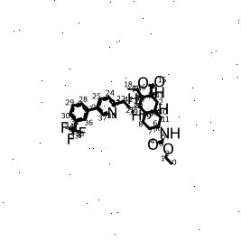 CCOC(=O)N[C@@H]1CC[C@@H]2[C@@H](C1)C[C@H]1C(=O)O[C@H](C)[C@H]1[C@H]2CCc1ccc(-c2cccc(C(F)(F)F)c2)cn1